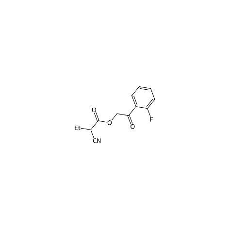 CCC(C#N)C(=O)OCC(=O)c1ccccc1F